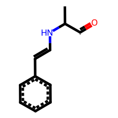 CC([C]=O)N/C=C/c1ccccc1